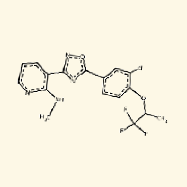 CNc1ncccc1-c1noc(-c2ccc(OC(C)C(F)(F)F)c(Cl)c2)n1